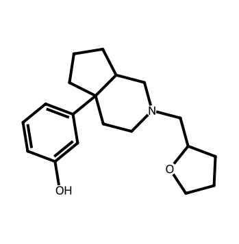 Oc1cccc(C23CCCC2CN(CC2CCCO2)CC3)c1